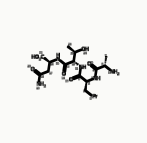 CC(C)C[C@H](NC(=O)[C@H](C)N)C(=O)N[C@H](C(=O)N[C@@H](CC(N)=O)C(=O)O)[C@@H](C)O